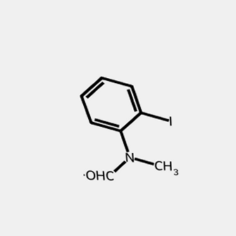 CN([C]=O)c1ccccc1I